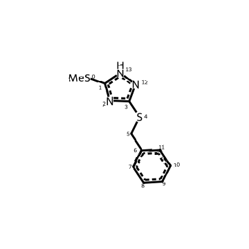 CSc1nc(SCc2ccccc2)n[nH]1